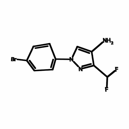 Nc1cn(-c2ccc(Br)cc2)nc1C(F)F